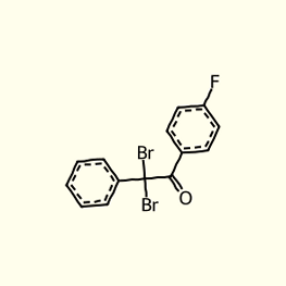 O=C(c1ccc(F)cc1)C(Br)(Br)c1ccccc1